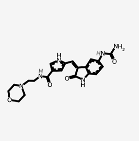 NC(=O)Nc1ccc2c(c1)C(=Cc1cc(C(=O)NCCN3CCOCC3)c[nH]1)C(=O)N2